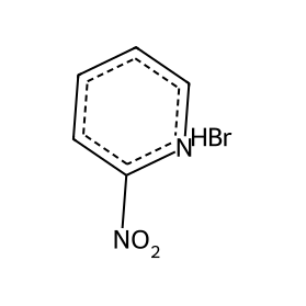 Br.O=[N+]([O-])c1ccccn1